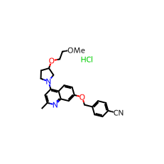 COCCOC1CCN(c2cc(C)nc3cc(OCc4ccc(C#N)cc4)ccc23)C1.Cl